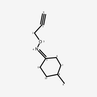 C#CCON=C1CCC(C)CC1